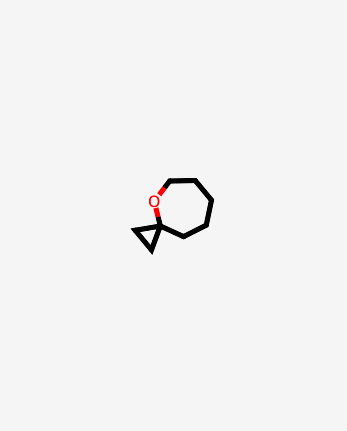 C1CCOC2(CC1)CC2